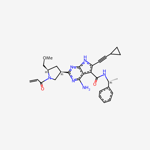 C=CC(=O)N1C[C@H](c2nc(N)c3c(C(=O)N[C@H](C)c4ccccc4)c(C#CC4CC4)[nH]c3n2)C[C@@H]1COC